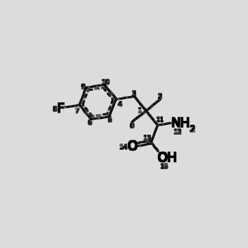 CC(C)(Cc1ccc(F)cc1)C(N)C(=O)O